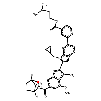 COc1cc(C(=O)N2C[C@H]3CC[C@@H]2[C@@H]3N)cc2nc(-c3cc4ccc(-c5cccc(C(=O)NCCN(C)C)c5)nc4n3CC3CC3)n(C)c12